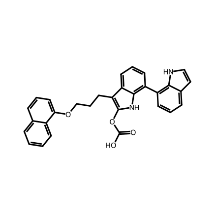 O=C(O)Oc1[nH]c2c(-c3cccc4cc[nH]c34)cccc2c1CCCOc1cccc2ccccc12